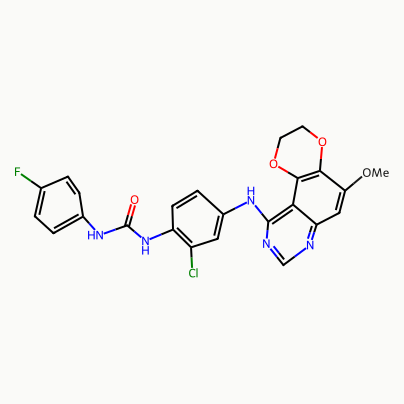 COc1cc2ncnc(Nc3ccc(NC(=O)Nc4ccc(F)cc4)c(Cl)c3)c2c2c1OCCO2